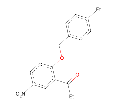 CCC(=O)c1cc([N+](=O)[O-])ccc1OCc1ccc(CC)cc1